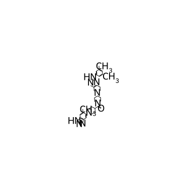 Cc1cc(C)cc(Nc2ncc3c(n2)CCN(C2CCN(C(=O)C4CCN(c5cc6nn[nH]c6cc5C)CC4)CC2)C3)c1